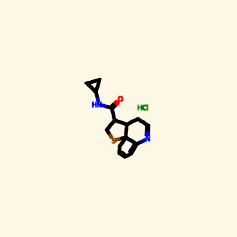 Cl.O=C(NC1CC1)C1CSC23CC=CC=C2N=CCC13